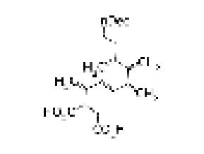 C=C(/C=C/C(=C)C(CC(=O)O)C(=O)O)C(=C)C(=C)CCCCCCCCCCCC